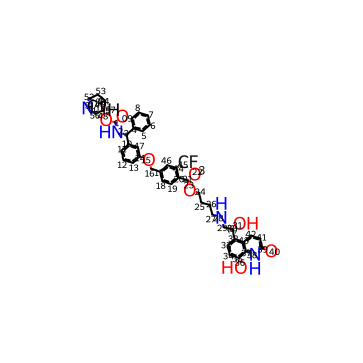 O=C(NC(c1ccccc1)c1cccc(OCc2ccc(C(=O)OCCCCNC[C@@H](O)c3ccc(O)c4[nH]c(=O)ccc34)c(C(F)(F)F)c2)c1)O[C@H]1CN2CCC1CC2